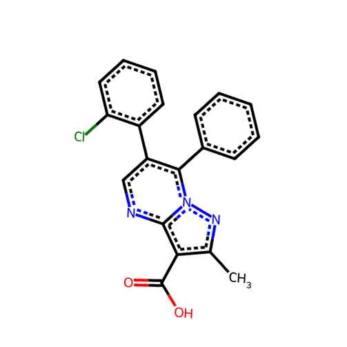 Cc1nn2c(-c3ccccc3)c(-c3ccccc3Cl)cnc2c1C(=O)O